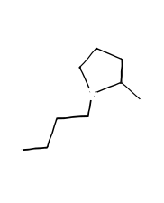 CCC1CCCN1CCC[O]